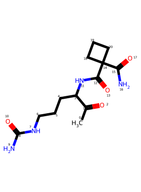 CC(=O)C(CCCNC(N)=O)NC(=O)C1(C(N)=O)CCC1